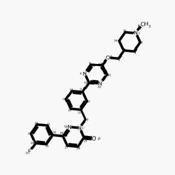 CN1CCC(COc2cnc(-c3cccc(Cn4nc(-c5cccc(F)c5)ccc4=O)c3)nc2)CC1